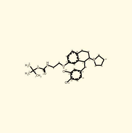 CC(C)(C)OC(=O)NCCOc1ccc2c(c1)C(Cc1ccc(Cl)c(Cl)c1)C(N1CCCC1)CC2